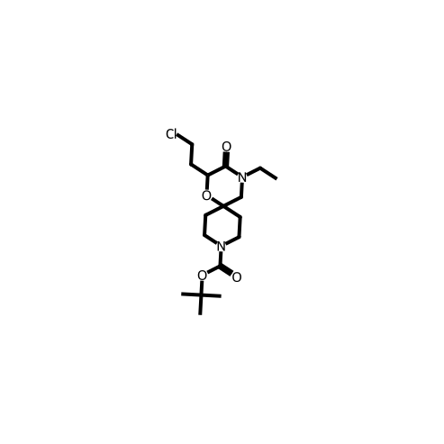 CCN1CC2(CCN(C(=O)OC(C)(C)C)CC2)OC(CCCl)C1=O